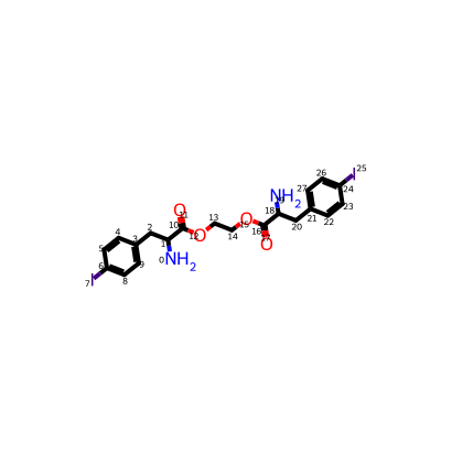 NC(Cc1ccc(I)cc1)C(=O)OCCOC(=O)C(N)Cc1ccc(I)cc1